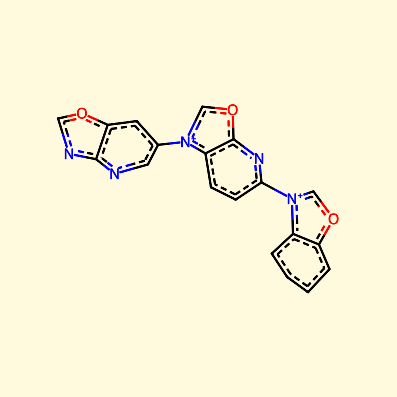 c1ccc2c(c1)oc[n+]2-c1ccc2c(n1)oc[n+]2-c1cnc2ncoc2c1